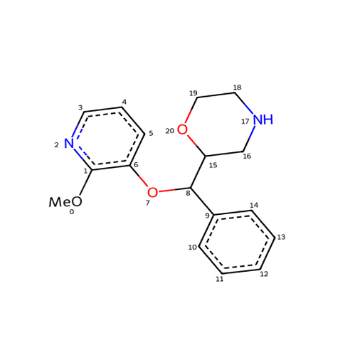 COc1ncccc1OC(c1ccccc1)C1CNCCO1